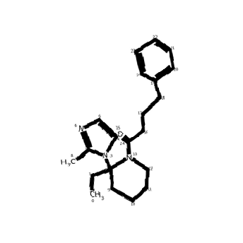 CCC1(n2ccnc2C)CCCCN1C(=O)CCCc1ccccc1